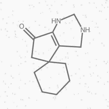 O=C1CC2(CCCCC2)C2=C1NCNC2